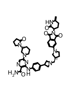 C=C1CCC(N2C(=O)c3ccc(N4CC[C@@H](CN5CC(c6ccc(Nc7nc(N8CCC[C@H](N9CCCC9=O)C8)cnc7C(N)=O)cc6)C5)C4)cc3C2=O)C(=O)N1